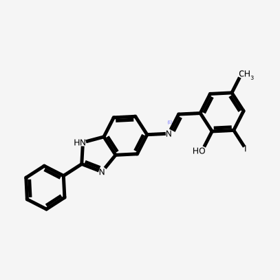 Cc1cc(I)c(O)c(/C=N/c2ccc3[nH]c(-c4ccccc4)nc3c2)c1